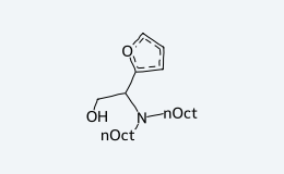 CCCCCCCCN(CCCCCCCC)C(CO)c1ccco1